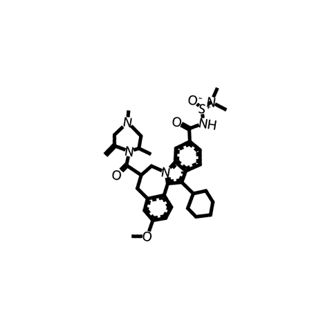 C=C1CN(C)CC(C)N1C(=O)C1Cc2cc(OC)ccc2-c2c(C3CCCCC3)c3ccc(C(=O)N[S+]([O-])N(C)C)cc3n2C1